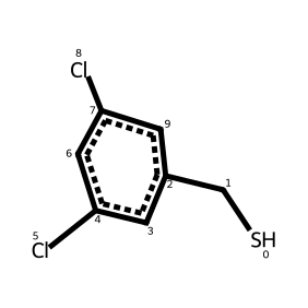 SCc1cc(Cl)cc(Cl)c1